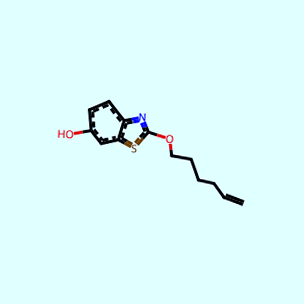 C=CCCCCOc1nc2ccc(O)cc2s1